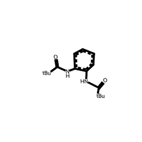 CC(C)(C)C(=O)Nc1ccccc1NC(=O)C(C)(C)C